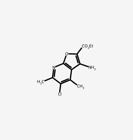 CCOC(=O)c1oc2nc(C)c(Cl)c(C)c2c1N